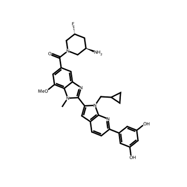 COc1cc(C(=O)N2C[C@H](N)C[C@@H](F)C2)cc2nc(-c3cc4ccc(-c5cc(O)cc(O)c5)nc4n3CC3CC3)n(C)c12